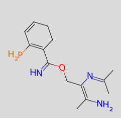 CC(C)=N/C(COC(=N)C1=C(P)C=CCC1)=C(/C)N